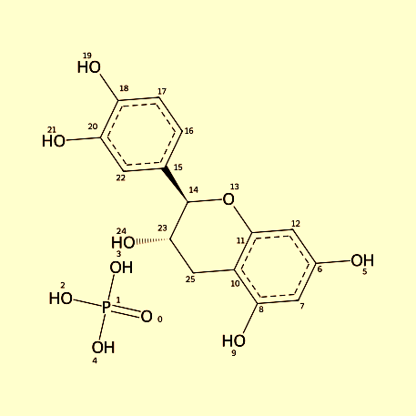 O=P(O)(O)O.Oc1cc(O)c2c(c1)O[C@H](c1ccc(O)c(O)c1)[C@@H](O)C2